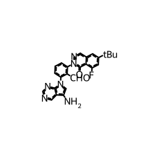 CC(C)(C)c1cc(F)c2c(=O)n(-c3cccc(-n4cc(N)c5cncnc54)c3C=O)ncc2c1